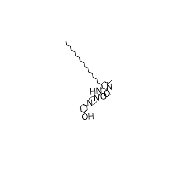 CCCCCCCCCCCCCCCCc1cc(C)nc(OC)c1NC(=O)N1CCN(c2cccc(O)c2)CC1